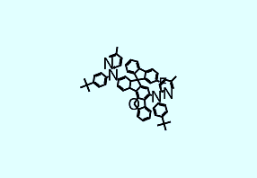 Cc1ccc(N(C2=CC3C(C=C2)c2c(cc(N(c4ccc(C(C)(C)C)cc4)c4ccc(C)cn4)c4c2oc2ccccc24)C32c3ccccc3-c3ccc(F)cc32)c2ccc(C(C)(C)C)cc2)nc1